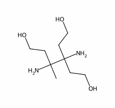 CC(N)(CCO)C(N)(CCO)CCO